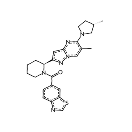 Cc1cn2nc([C@@H]3CCCCN3C(=O)c3ccc4ncsc4c3)cc2nc1N1CC[C@H](C)C1